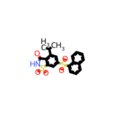 CC(C)c1cc(S(=O)(=O)c2cccc3ccccc23)cc2c1C(=O)NS2(=O)=O